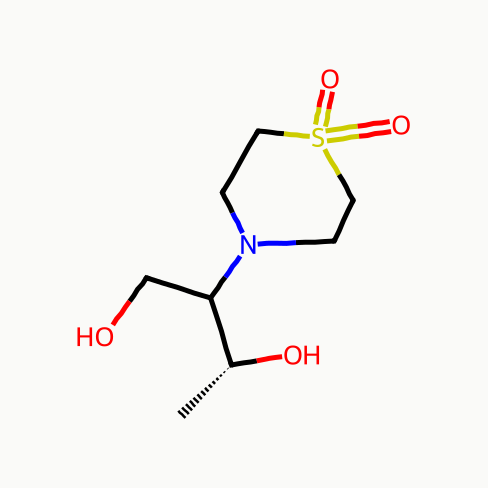 C[C@@H](O)C(CO)N1CCS(=O)(=O)CC1